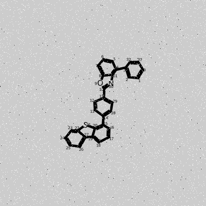 c1ccc(-c2cccc3oc(-c4ccc(-c5cccc6c5sc5ccccc56)cc4)nc23)cc1